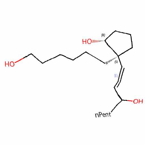 CCCCCC(O)/C=C/[C@]1(CCCCCCO)CCC[C@H]1O